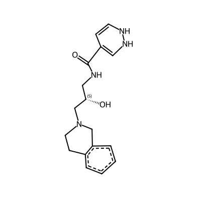 O=C(NC[C@H](O)CN1CCc2ccccc2C1)C1=CNNC=C1